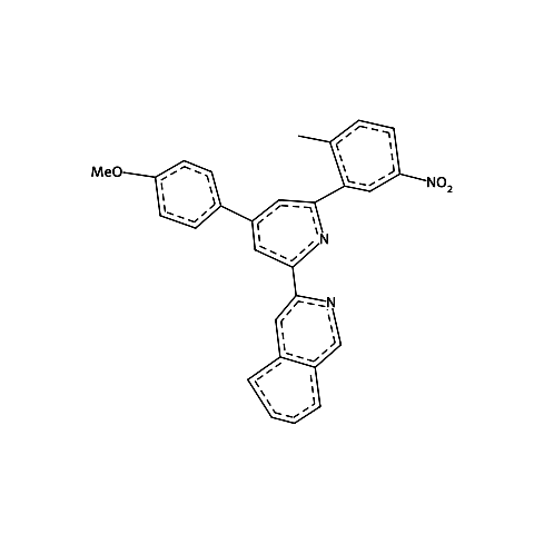 COc1ccc(-c2cc(-c3cc4ccccc4cn3)nc(-c3cc([N+](=O)[O-])ccc3C)c2)cc1